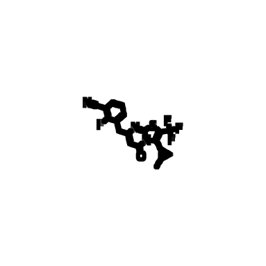 CC1CC1c1c(C(F)(F)F)sc2nc(Cc3cccc(C#N)c3F)cc(=O)n12